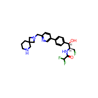 O=C(N[C@H](CF)[C@H](O)c1ccc(-c2ccc(CN3CC4(CCCNC4)C3)nc2)cc1)C(F)F